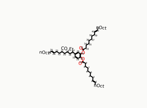 CCCCCCCCC=CCCCCCCCC(=O)Oc1ccc(C(CCCCCCC=CCCCCCCCC)C(=O)OCC)cc1OC(=O)CCCCCCCC=CCCCCCCCC